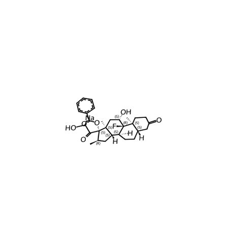 C[C@@H]1C[C@H]2[C@@H]3CC[C@H]4CC(=O)CC[C@]4(C)[C@@]3(F)[C@@H](O)C[C@]2(C)[C@]1(OC(=O)c1ccccc1)C(=O)[CH](O)[Na]